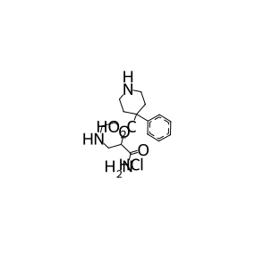 Cl.NC(=O)C1CNCCO1.O=C(O)C1(c2ccccc2)CCNCC1